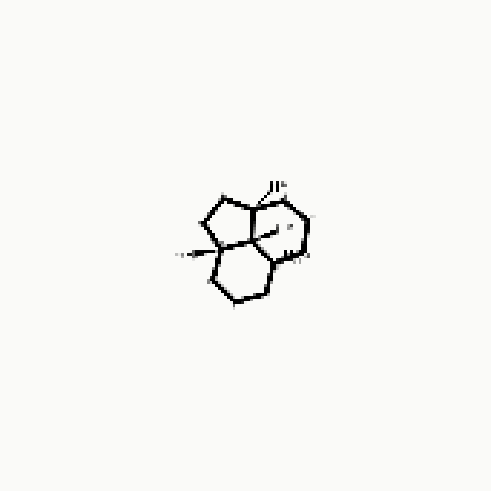 C1C[C@@H]2CC[C@H]3CCC[C@H](C1)[C@@H]32